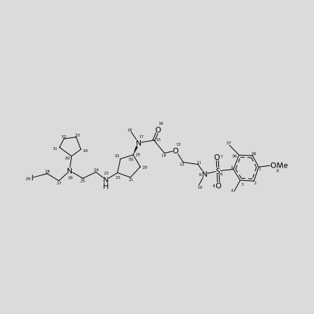 COc1cc(C)c(S(=O)(=O)N(C)CCOCC(=O)N(C)[C@H]2CCC(NCCN(CCI)C3CCCC3)C2)c(C)c1